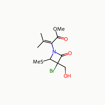 COC(=O)C(=C(C)C)N1C(=O)C(Br)(CO)C1SC